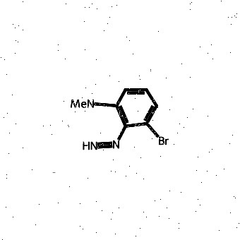 CNc1cccc(Br)c1N=N